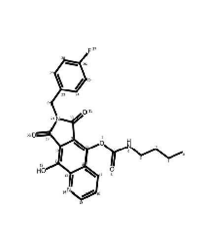 CCCCNC(=O)Oc1c2c(c(O)c3ncccc13)C(=O)N(Cc1ccc(F)cc1)C2=O